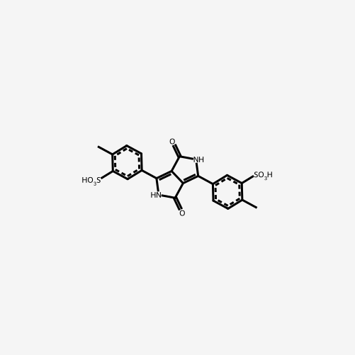 Cc1ccc(C2=C3C(=O)NC(c4ccc(C)c(S(=O)(=O)O)c4)=C3C(=O)N2)cc1S(=O)(=O)O